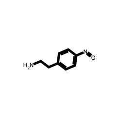 N[CH]Cc1ccc(N=O)cc1